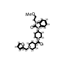 COCCn1c(=O)n(C2CCN(C(=O)C3CCN(Cc4ccco4)CC3)CC2)c2ccccc21